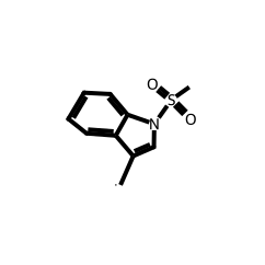 [CH2]c1cn(S(C)(=O)=O)c2ccccc12